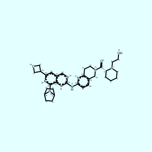 O=C([C@H]1CCCCN1CCO)N1CCc2nc(Nc3ncc4cc(C5COC5)nc(N5C6CCC5CC6)c4n3)ccc2C1